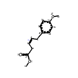 COC(=O)C/C=C\Cc1ccc(OC)cc1